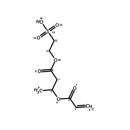 C=CC(=O)OC(C)CC(=O)OCCS(=O)(=O)O